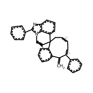 C=C1/C(c2ccccc2)=C\C=C/CC2(c3ccccc31)c1ccccc1-n1c(-c3ccccc3)nc3cccc2c31